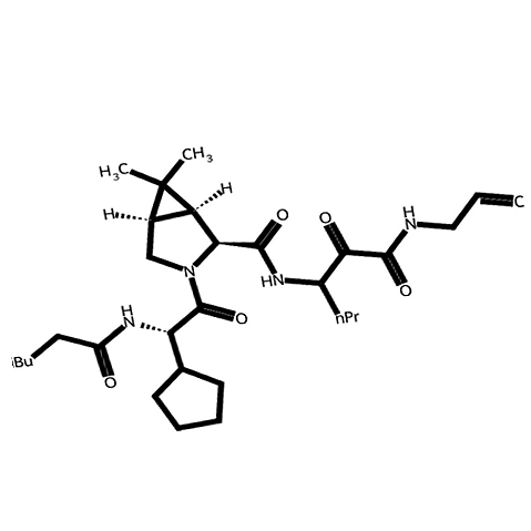 C=CCNC(=O)C(=O)C(CCC)NC(=O)[C@@H]1[C@H]2[C@@H](CN1C(=O)[C@@H](NC(=O)CC(C)CC)C1CCCC1)C2(C)C